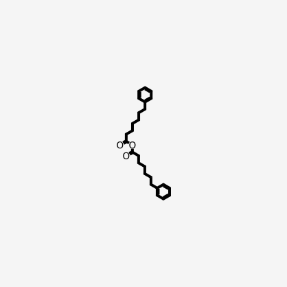 O=C(CCCCCCc1ccccc1)OC(=O)CCCCCCc1ccccc1